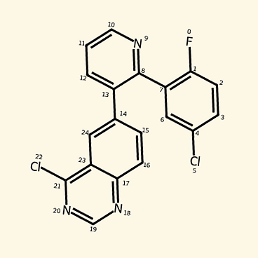 Fc1ccc(Cl)cc1-c1ncccc1-c1ccc2ncnc(Cl)c2c1